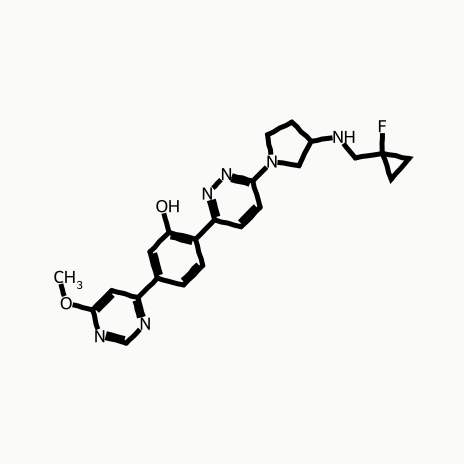 COc1cc(-c2ccc(-c3ccc(N4CCC(NCC5(F)CC5)C4)nn3)c(O)c2)ncn1